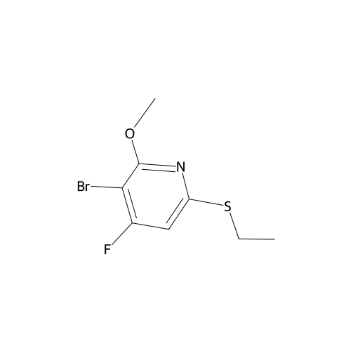 CCSc1cc(F)c(Br)c(OC)n1